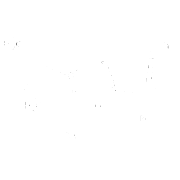 C=CC(=O)OC(Oc1ccc(Br)cc1Br)C(C)O